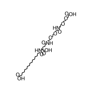 O=C(O)CCCCCCCCCCCCCCC(=O)N[C@@H](CCC(=O)NCCOCCOCC(=O)NCCOCCOCC(=O)O)C(=O)O